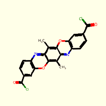 Cc1c2c(c(C)c3c1=Nc1ccc(C(=O)Cl)cc1O3)=Nc1ccc(C(=O)Cl)cc1O2